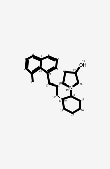 Cc1cccc2cccc(CCC[C@H]3CCCCC3N3CCC(O)C3)c12